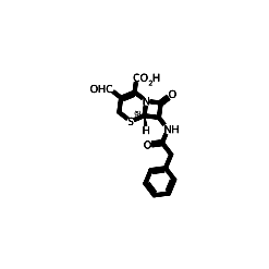 O=CC1=C(C(=O)O)N2C(=O)C(NC(=O)Cc3ccccc3)[C@@H]2SC1